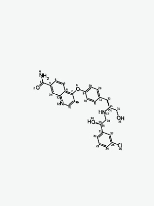 NC(=O)c1ccc2c(Oc3ccc(C[C@@H](CO)NC[C@H](O)c4cccc(Cl)c4)cc3)ccnc2c1